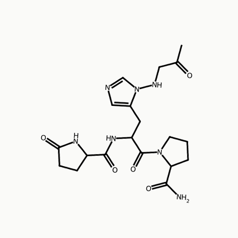 CC(=O)CNn1cncc1CC(NC(=O)C1CCC(=O)N1)C(=O)N1CCCC1C(N)=O